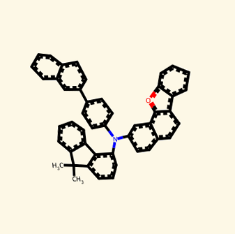 CC1(C)c2ccccc2-c2c(N(c3ccc(-c4ccc5ccccc5c4)cc3)c3ccc4ccc5c6ccccc6oc5c4c3)cccc21